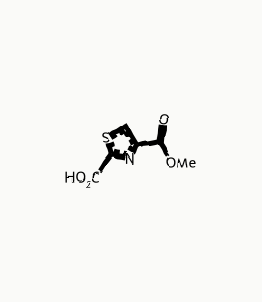 COC(=O)c1csc(C(=O)O)n1